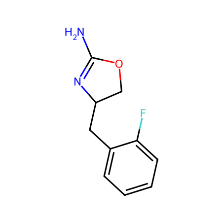 NC1=NC(Cc2ccccc2F)CO1